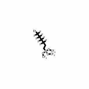 CCC(F)(F)C(F)(F)C(F)(F)C(F)(F)CC[Si](OC(F)(F)F)(OC(F)(F)F)OC(F)(F)F